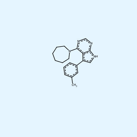 Cc1cccc(-c2c[nH]c3ncnc(N4CCCCCC4)c23)c1